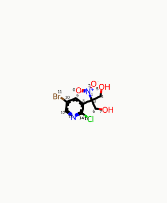 O=[N+]([O-])C(CO)(CO)c1cc(Br)cnc1Cl